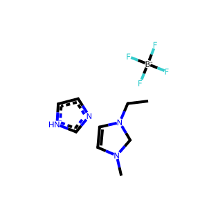 CCN1C=CN(C)C1.F[B-](F)(F)F.c1c[nH]cn1